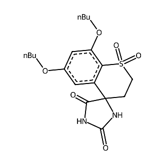 CCCCOc1cc(OCCCC)c2c(c1)C1(CCS2(=O)=O)NC(=O)NC1=O